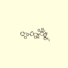 Cn1cncc1CC(NCc1ccc(OCc2ccccc2Cl)cc1Cl)C(N)=O